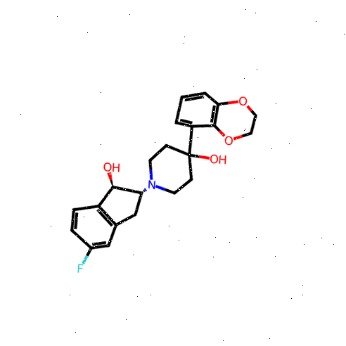 O[C@@H]1c2ccc(F)cc2C[C@H]1N1CCC(O)(c2cccc3c2OCCO3)CC1